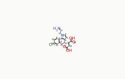 NCCn1ccc2c1-c1ccc(Cl)cc1CC2.O=C(O)C=CC(=O)O